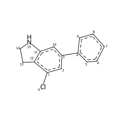 Clc1cc(-c2ccccc2)cc2c1CCN2